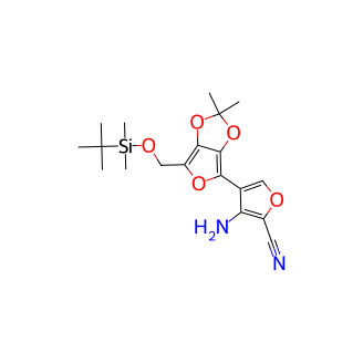 CC1(C)Oc2c(CO[Si](C)(C)C(C)(C)C)oc(-c3coc(C#N)c3N)c2O1